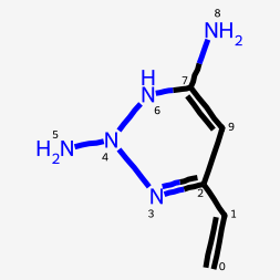 C=CC1=NN(N)NC(N)=C1